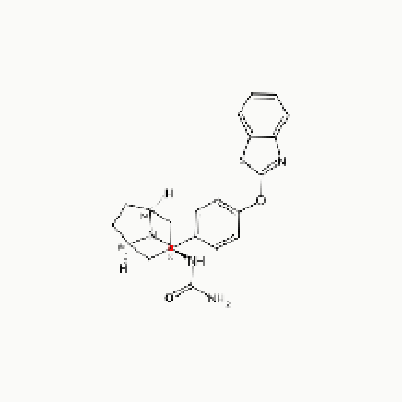 NC(=O)N[C@H]1C[C@H]2CC[C@@H](C1)N2Cc1ccc(Oc2nc3ccccc3s2)cc1